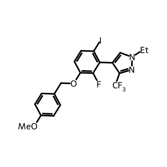 CCn1cc(-c2c(I)ccc(OCc3ccc(OC)cc3)c2F)c(C(F)(F)F)n1